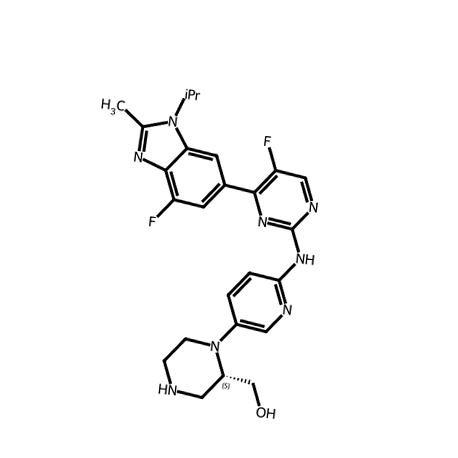 Cc1nc2c(F)cc(-c3nc(Nc4ccc(N5CCNC[C@H]5CO)cn4)ncc3F)cc2n1C(C)C